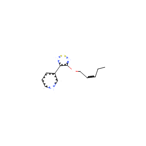 CC/C=C\COc1nsnc1-c1cccnc1